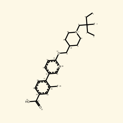 CCC(F)(CC)CN1CCC(COc2ccc(-c3ccc(C(=O)O)cc3F)cn2)CC1